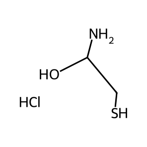 Cl.NC(O)CS